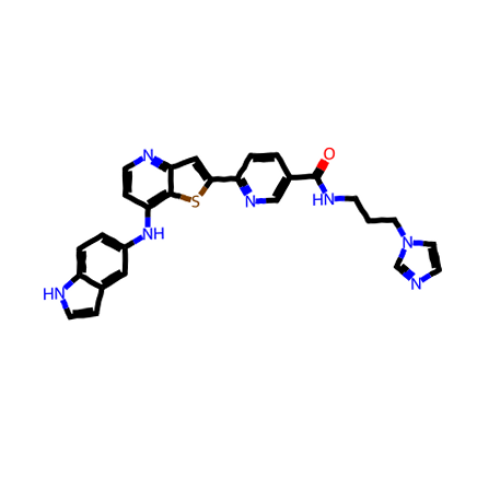 O=C(NCCCn1ccnc1)c1ccc(-c2cc3nccc(Nc4ccc5[nH]ccc5c4)c3s2)nc1